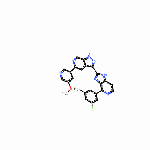 COc1cncc(-c2cc3c(-c4nc5c(-c6cc(C)cc(F)c6)nccc5[nH]4)n[nH]c3cn2)c1